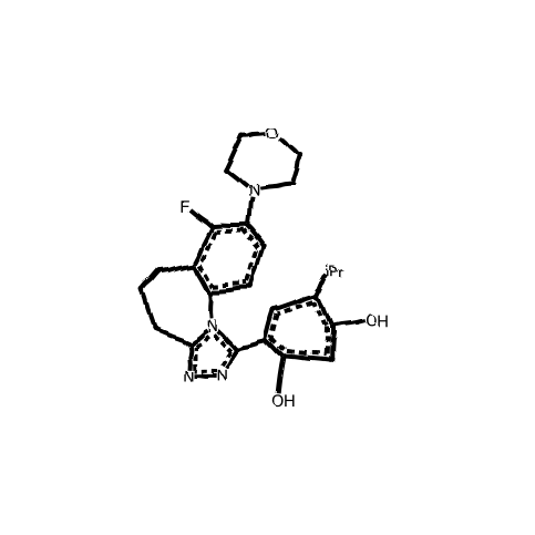 CC(C)c1cc(-c2nnc3n2-c2ccc(N4CCOCC4)c(F)c2CCC3)c(O)cc1O